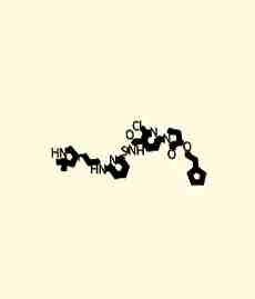 CC1(C)C[C@H](CCCNc2cccc(SNC(=O)c3ccc(N4CCC(OCCC5CCCC5)C4=O)nc3Cl)n2)CN1